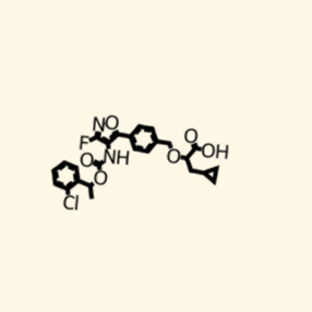 CC(OC(=O)Nc1c(F)noc1-c1ccc(COC(CC2CC2)C(=O)O)cc1)c1ccccc1Cl